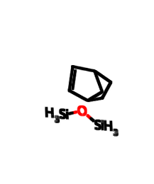 C1=CC2CCC1C2.[SiH3]O[SiH3]